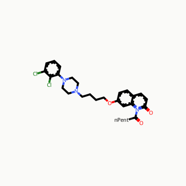 CCCCCC(=O)n1c(=O)ccc2ccc(OCCCCN3CCN(c4cccc(Cl)c4Cl)CC3)cc21